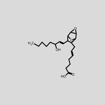 CCCCCC(O)C=CC1C(CC=CCCCC(=O)O)C2OC1C1OC21